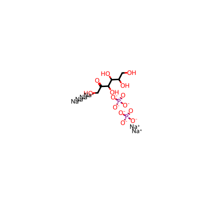 O=C(CO)C(O)C(O)C(O)CO.O=P([O-])([O-])[O-].O=P([O-])([O-])[O-].[Na+].[Na+].[Na+].[Na+].[Na+].[Na+]